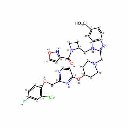 O=C(O)c1ccc2nc(CN3CCC(Oc4ccnc(COc5ccc(F)cc5Cl)n4)CC3)n(CC3CCN3C(=O)c3ccon3)c2c1